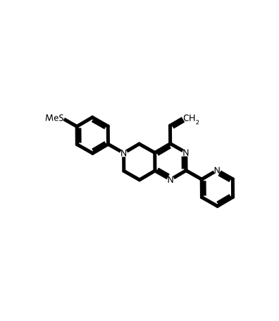 C=Cc1nc(-c2ccccn2)nc2c1CN(c1ccc(SC)cc1)CC2